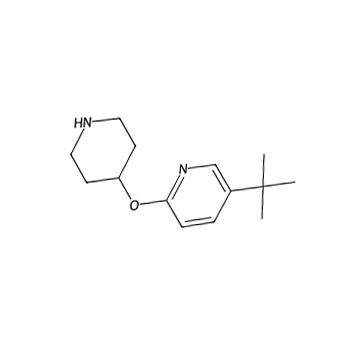 CC(C)(C)c1ccc(OC2CCNCC2)nc1